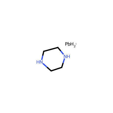 C1CNCCN1.[PbH2]